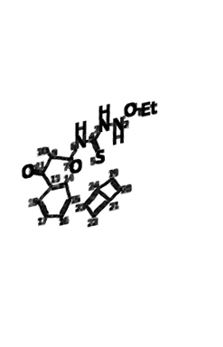 CCONNC(=S)NC(=O)C(C)C(=O)c1ccccc1.c1cc2ccc1-2